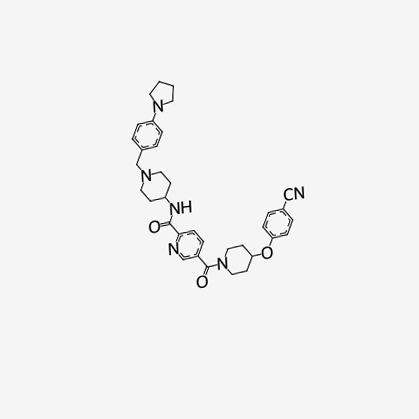 N#Cc1ccc(OC2CCN(C(=O)c3ccc(C(=O)NC4CCN(Cc5ccc(N6CCCC6)cc5)CC4)nc3)CC2)cc1